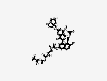 C#Cc1c(F)ccc2cc(OC(=O)N(C)CCNC(=O)OC(C)OC(=O)C(C)C)cc(-c3ncc4c(N(C)[C@H]5C[C@@H]5F)nc(OC[C@@]56CCCN5C[C@H](F)C6)nc4c3F)c12